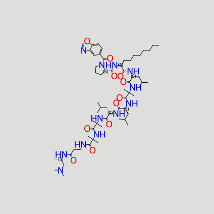 CCCCCCCC[C@H](NC(=O)[C@@H]1CCCN1C(=O)c1ccc2ocnc2c1)C(=O)N[C@@H](CC(C)C)C(=O)NC(C)(C)C(=O)N[C@@H](CC(C)C)C(=O)N[C@@H](CC(C)C)C(=O)NC(C)(C)C(=O)NC(C)(C)C(=O)NCCC(=O)N[C@@H](C)CN(C)C